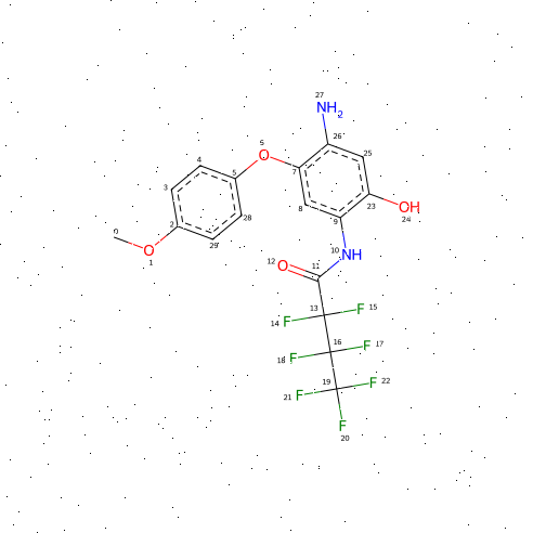 COc1ccc(Oc2cc(NC(=O)C(F)(F)C(F)(F)C(F)(F)F)c(O)cc2N)cc1